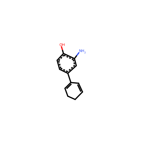 Nc1cc(C2=CCCC=C2)ccc1O